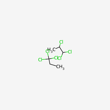 CC(Cl)C(Cl)Cl.CCC(Cl)(Cl)Cl